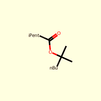 CCCCC(C)(C)OC(=O)C(C)CCC